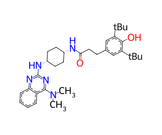 CN(C)c1nc(N[C@H]2CC[C@@H](NC(=O)CCc3cc(C(C)(C)C)c(O)c(C(C)(C)C)c3)CC2)nc2ccccc12